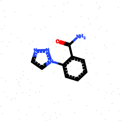 NC(=O)c1ccccc1-n1ccnn1